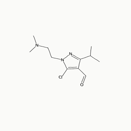 CC(C)c1nn(CCN(C)C)c(Cl)c1C=O